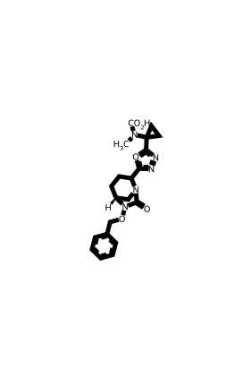 CN(C(=O)O)C1(c2nnc(C3CC[C@@H]4CN3C(=O)N4OCc3ccccc3)o2)CC1